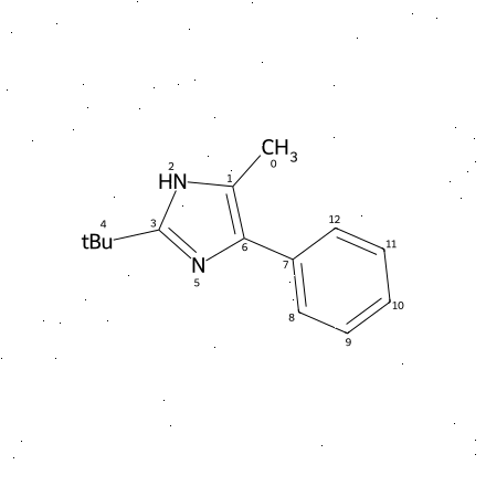 Cc1[nH]c(C(C)(C)C)nc1-c1ccccc1